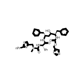 CCCc1nc(CN(C)C(=O)N[C@H](C(=O)N[C@H](Cc2ccccc2)C[C@@H](O)[C@@H](Cc2ccccc2)NC(=O)OCc2cncs2)C(C)C)cs1